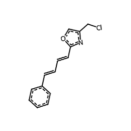 ClCc1coc(/C=C/C=C/c2ccccc2)n1